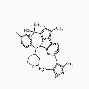 Cc1nnn(C)c1-c1cnc2c3c(c(C(C)(C)O)nn3C)n(C(c3ccc(F)cc3)C3CCOCC3)c2c1